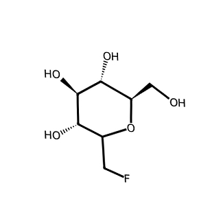 OC[C@H]1OC(CF)[C@H](O)[C@@H](O)[C@@H]1O